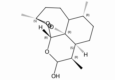 C[C@@H]1CC[C@H]2[C@@H](C)C(O)O[C@@H]3O[C@]4(C)CCC1[C@]32OO4